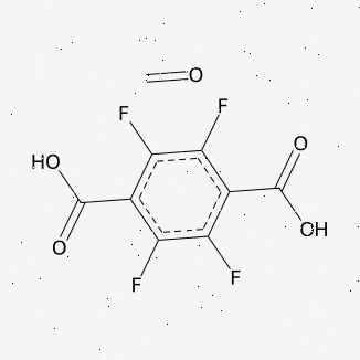 C=O.O=C(O)c1c(F)c(F)c(C(=O)O)c(F)c1F